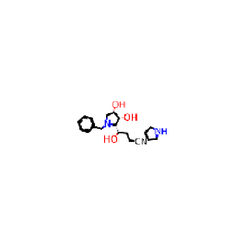 C1CCNC1.N#CCCC(O)[C@H]1[C@@H](O)[C@@H](O)CN1Cc1ccccc1